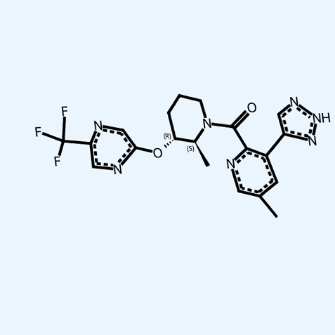 Cc1cnc(C(=O)N2CCC[C@@H](Oc3cnc(C(F)(F)F)cn3)[C@@H]2C)c(-c2cn[nH]n2)c1